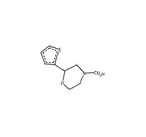 O=C(O)N1CCOC(c2cccs2)C1